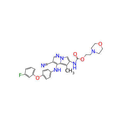 Cc1c(NC(=O)OCCN2CCOCC2)cn2ncc(C#N)c(Nc3ccc(Oc4cccc(F)c4)cc3)c12